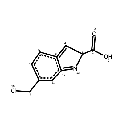 O=C(O)C1C=c2ccc(CCl)cc2=N1